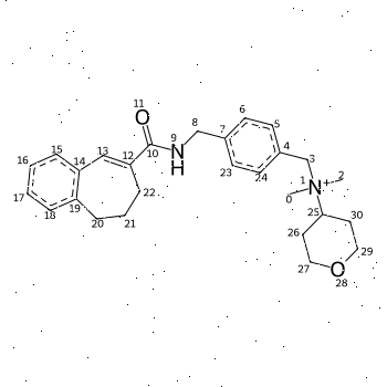 C[N+](C)(Cc1ccc(CNC(=O)C2=Cc3ccccc3CCC2)cc1)C1CCOCC1